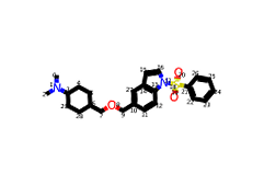 CN(C)C1CCC(COCc2ccc3c(ccn3S(=O)(=O)c3ccccc3)c2)CC1